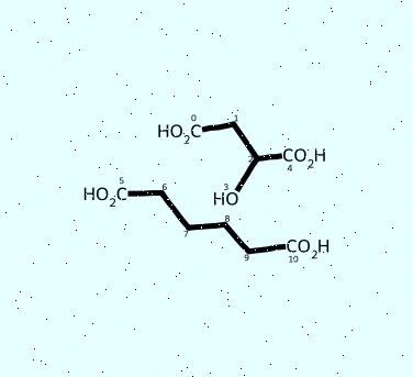 O=C(O)CC(O)C(=O)O.O=C(O)CCCCC(=O)O